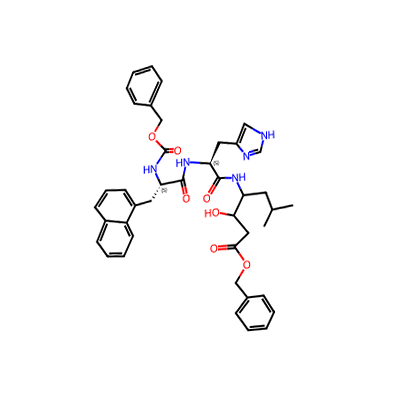 CC(C)CC(NC(=O)[C@H](Cc1c[nH]cn1)NC(=O)[C@H](Cc1cccc2ccccc12)NC(=O)OCc1ccccc1)C(O)CC(=O)OCc1ccccc1